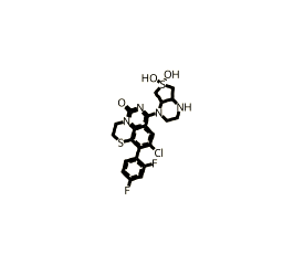 O=c1nc(N2CCNC3CS(O)(O)CC32)c2cc(Cl)c(-c3ccc(F)cc3F)c3c2n1CCS3